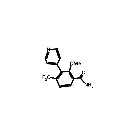 COc1c(C(N)=O)ccc(C(F)(F)F)c1-c1ccncc1